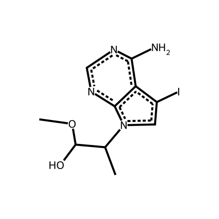 COC(O)C(C)n1cc(I)c2c(N)ncnc21